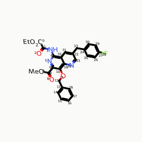 CCOC(=O)C(=O)Nc1nc(C(=O)OC)c(OCc2ccccc2)c2ncc(Cc3ccc(F)cc3)cc12